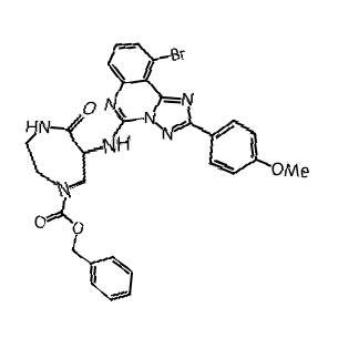 COc1ccc(-c2nc3c4c(Br)cccc4nc(NC4CN(C(=O)OCc5ccccc5)CCNC4=O)n3n2)cc1